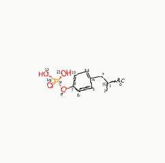 CC(=O)[C@@H](C)Cc1ccc(OP(=O)(O)O)cc1